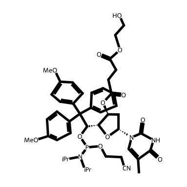 COc1ccc(C(c2ccccc2)(c2ccc(OC)cc2)C(OP(OCCC#N)N(C(C)C)C(C)C)[C@H]2O[C@@H](n3cc(C)c(=O)[nH]c3=O)C[C@@H]2OC(=O)CCC(=O)OCCO)cc1